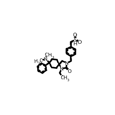 CCN1C(=O)N(Cc2ccc(C[SH](=O)=O)cc2)CC12CCC(c1ccccc1)(N(C)C)CC2